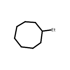 [CH2]CC1CCCCCCC1